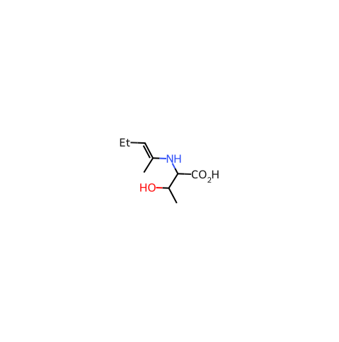 CC/C=C(\C)NC(C(=O)O)C(C)O